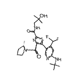 C[C@H]1CCCN1C(=O)c1nc(C(=O)NCC(C)(C)O)sc1-c1cnc(NC(C)(C)C)cc1C(F)F